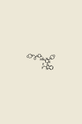 O=C(CN1CCOCC1)N1CC[C@H](CNc2cc(-n3c(C(F)F)nc4ccccc43)nc(N3CCOCC3)n2)C1